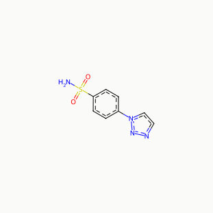 NS(=O)(=O)c1ccc(-n2ccnn2)cc1